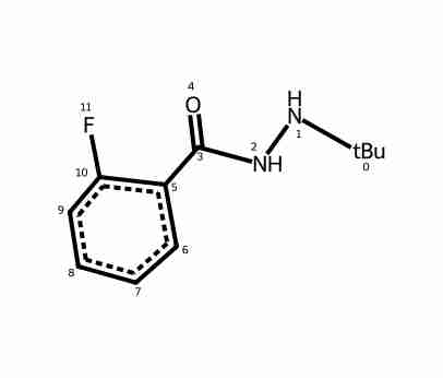 CC(C)(C)NNC(=O)c1ccccc1F